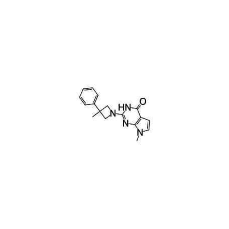 Cn1ccc2c(=O)[nH]c(N3CC(C)(c4ccccc4)C3)nc21